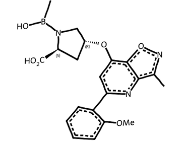 COc1ccccc1-c1cc(O[C@@H]2C[C@@H](C(=O)O)N(B(C)O)C2)c2onc(C)c2n1